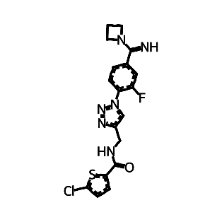 N=C(c1ccc(-n2cc(CNC(=O)c3ccc(Cl)s3)nn2)c(F)c1)N1CCC1